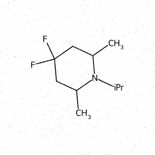 CC(C)N1C(C)CC(F)(F)CC1C